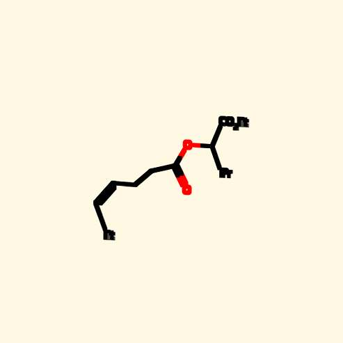 CC/C=C\CCC(=O)OC(C(=O)OCC)C(C)C